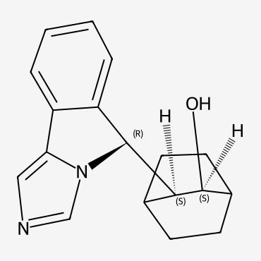 O[C@H]1C2CCC(CC2)[C@H]1[C@@H]1c2ccccc2-c2cncn21